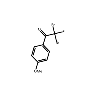 COc1ccc(C(=O)C(F)(Br)Br)cc1